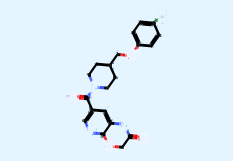 O=C1COC2NC=C(C(=O)N3CCC(COc4ccc(Cl)cc4)CC3)C=C2N1